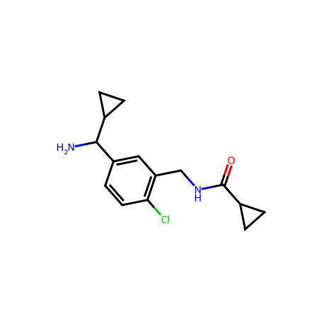 NC(c1ccc(Cl)c(CNC(=O)C2CC2)c1)C1CC1